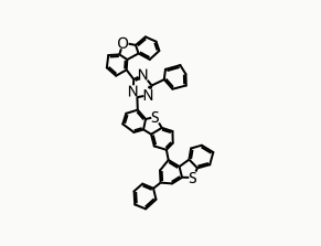 c1ccc(-c2cc(-c3ccc4sc5c(-c6nc(-c7ccccc7)nc(-c7cccc8oc9ccccc9c78)n6)cccc5c4c3)c3c(c2)sc2ccccc23)cc1